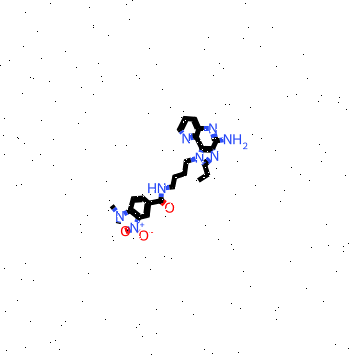 CCc1nc2c(N)nc3cccnc3c2n1CCCCNC(=O)c1ccc(N(C)C)c([N+](=O)[O-])c1